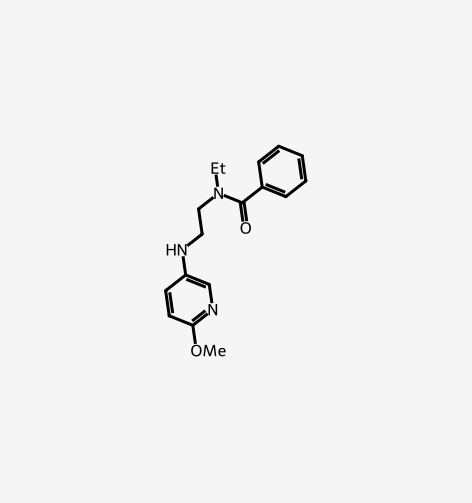 CCN(CCNc1ccc(OC)nc1)C(=O)c1ccccc1